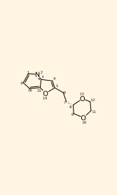 c1cnc2cc(CC[C@H]3COCCO3)oc2c1